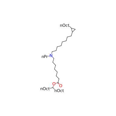 CCCCCCCCC(CCCCCCCC)OC(=O)CCCCCCCN(CCC)CCCCCCCCC1CC1CCCCCCCC